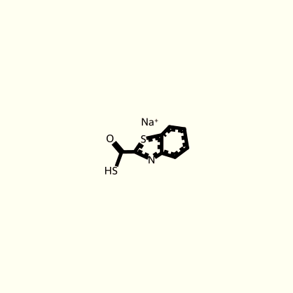 O=C(S)c1nc2ccccc2s1.[Na+]